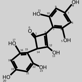 O=C1C(c2c(O)cc(O)cc2O)=C(O)C1c1c(O)cc(O)cc1O